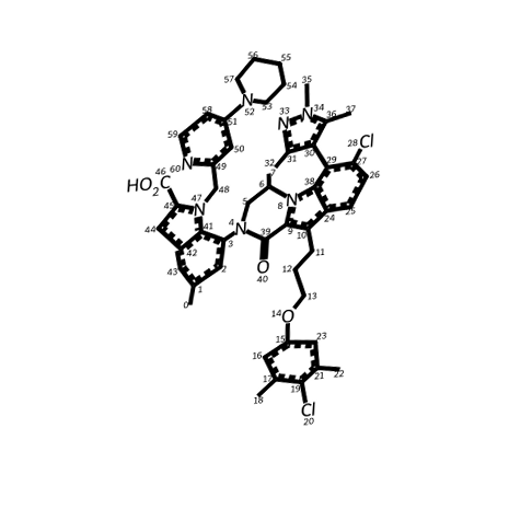 Cc1cc(N2CC(C)n3c(c(CCCOc4cc(C)c(Cl)c(C)c4)c4ccc(Cl)c(-c5c(C)nn(C)c5C)c43)C2=O)c2c(c1)cc(C(=O)O)n2Cc1cc(N2CCCCC2)ccn1